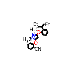 C=C(CC)/C(=C/CC)c1ccccc1Oc1cc(Oc2ccccc2C#N)n(C)n1